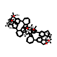 CC1=CC2=C(C=CC=CC2c2ccc3c(c2)CCC3(C)O[Si](C)(C)C(C)(C)C)[C]12[SiH](C)[C]1(C(C)=CC3=C1C=CC=CC3c1ccc3c(c1)CCC3(C)O[Si](C)(C)C(C)(C)C)[Zr]21([Cl])([Cl])[C]2(C(C)=CC3=C2C=CC=CC3c2ccc3c(c2)CCC3(C)O[Si](C)(C)C(C)(C)C)[SiH](C)[C]12C(C)=CC1=C2C=CC=CC1c1ccc2c(c1)CCC2(C)O[Si](C)(C)C(C)(C)C